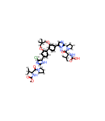 COC(=O)N[C@H](C(=O)N1CCC[C@H]1c1nc(Cl)c(-c2ccc3c(c2)OCC(C)(C)COc2cc(-c4cnc([C@@H]5CCCN5C(=O)[C@@H](NC(=O)O)C(C)C)[nH]4)ccc2-3)[nH]1)C(C)C